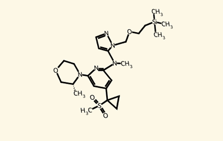 C[C@@H]1COCCN1c1cc(C2(S(C)(=O)=O)CC2)cc(N(C)c2ccnn2COCC[Si](C)(C)C)n1